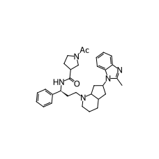 CC(=O)N1CCC(C(=O)N[C@@H](CCN2CCCC3CC(n4c(C)nc5ccccc54)CC32)c2ccccc2)C1